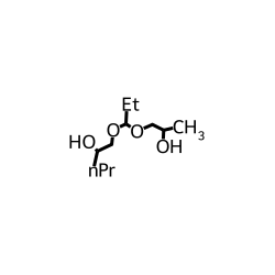 CCCC(O)COC(CC)OCC(C)O